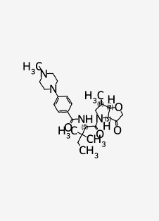 CCC(C)(C)[C@H](NC(=O)c1ccc(N2CCN(C)CC2)cc1)C(=O)N1C[C@@H](C)[C@H]2OCC(=O)[C@H]21